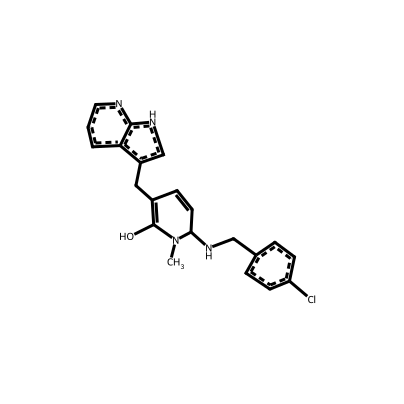 CN1C(O)=C(Cc2c[nH]c3ncccc23)C=CC1NCc1ccc(Cl)cc1